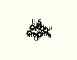 CCOc1cc2c(cc1NC(=O)c1ccccc1)C(Nc1ccc(OCC3CCCCN3)c(Cl)c1)C(C#N)CN2